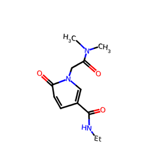 CCNC(=O)c1ccc(=O)n(CC(=O)N(C)C)c1